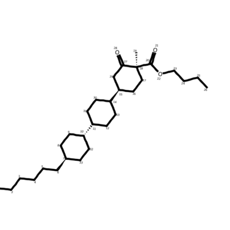 CCCCCCC[C@H]1CC[C@H](C2CCC([C@@H]3CC[C@](C)(C(=O)OCCCC)C(=O)C3)CC2)CC1